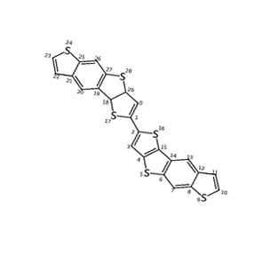 C1=C(c2cc3sc4cc5sccc5cc4c3s2)SC2c3cc4ccsc4cc3SC12